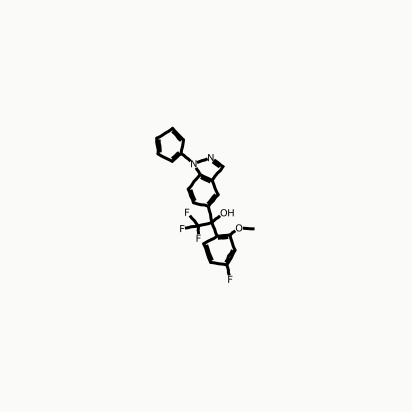 COc1cc(F)ccc1C(O)(c1ccc2c(cnn2-c2ccccc2)c1)C(F)(F)F